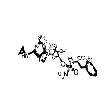 CCOC(=O)[C@H](Cc1ccccc1)NP(N)(=O)OC[C@H]1O[C@@H](n2cnc3c(NC4CC4)nc(N)nc32)C(C)(O)C1O